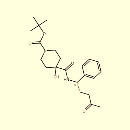 CC(=O)CC[C@H](NC(=O)C1(O)CCN(C(=O)OC(C)(C)C)CC1)c1ccccc1